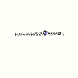 CCCCCCCCCCCCCCCCCCc1ccc[n+](CCCCCCCCCC)c1F